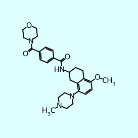 COc1ccc(N2CCN(C)CC2)c2c1CCC(NC(=O)c1ccc(C(=O)N3CCOCC3)cc1)C2